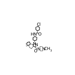 CN1CCN(C(=O)c2nn(-c3ccc(NC(=O)c4ccc(Cl)cc4)cc3)c3c2CCc2sccc2-3)CC1